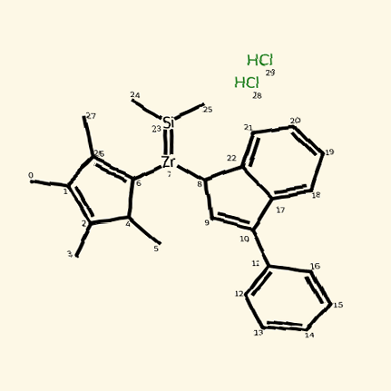 CC1=C(C)C(C)[C]([Zr]([CH]2C=C(c3ccccc3)c3ccccc32)=[Si](C)C)=C1C.Cl.Cl